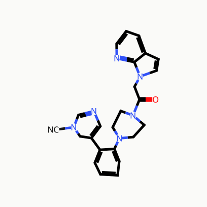 N#CN1C=NC=C(c2ccccc2N2CCN(C(=O)Cn3ccc4cccnc43)CC2)C1